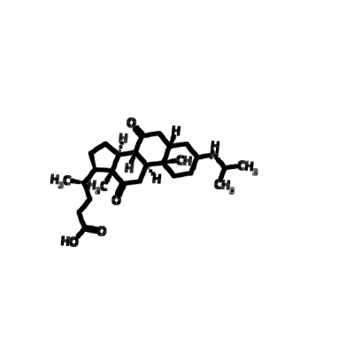 CC(C)NC1CC[C@@]2(C)[C@H](CC(=O)[C@@H]3[C@@H]2CC(=O)[C@]2(C)[C@@H]([C@H](C)CCC(=O)O)CC[C@@H]32)C1